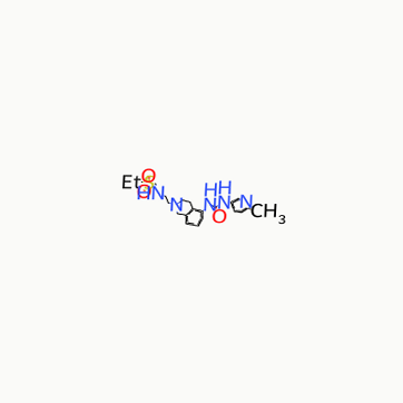 CCS(=O)(=O)CNCCN1CCc2c(cccc2NC(=O)Nc2ccc(C)nc2)C1